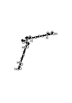 CC(C)(C)C(=O)CN(Cc1nccn1CC(=O)NCCCOCCOCCOCCCNC(=O)COCC(=O)O)Cc1nccn1CC(=O)NCCCOCCOCCOCCCNC(=O)COCC(=O)O